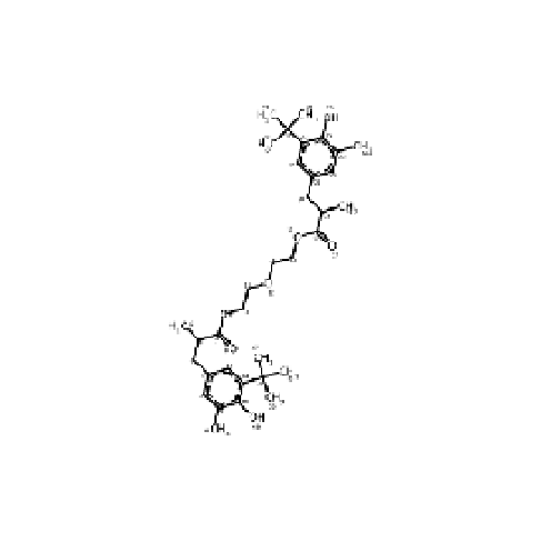 Cc1cc(CC(C)C(=O)OCCOCCOC(=O)C(C)Cc2cc(C)c(O)c(C(C)(C)C)c2)cc(C(C)(C)C)c1O